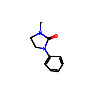 [CH2]N1CCN(c2ccccc2)C1=O